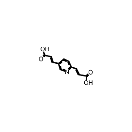 O=C(O)C=Cc1ccc(C=CC(=O)O)nc1